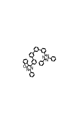 c1ccc(-c2nc(-c3ccccc3)nc(-c3cccc(-c4cccc(-c5cccc(-c6cccc(-c7nc(-c8ccccc8)nc8oc9ccccc9c78)c6)c5)c4)c3)n2)cc1